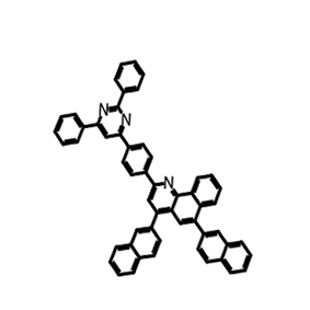 c1ccc(-c2cc(-c3ccc(-c4cc(-c5ccc6ccccc6c5)c5cc(-c6ccc7ccccc7c6)c6ccccc6c5n4)cc3)nc(-c3ccccc3)n2)cc1